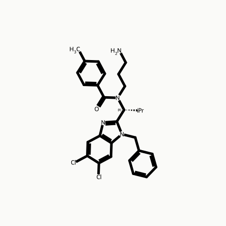 Cc1ccc(C(=O)N(CCCN)[C@@H](c2nc3cc(Cl)c(Cl)cc3n2Cc2ccccc2)C(C)C)cc1